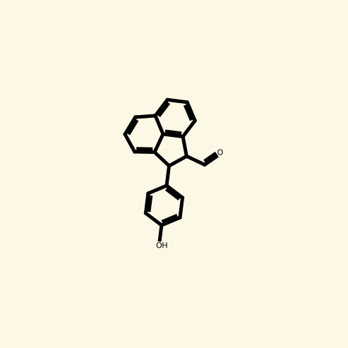 O=CC1c2cccc3cccc(c23)C1c1ccc(O)cc1